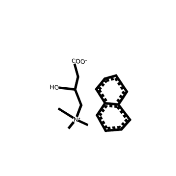 C[N+](C)(C)CC(O)CC(=O)[O-].c1ccc2ccccc2c1